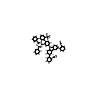 N#Cc1ccccc1-c1ccc2c(c1)c1cc(-c3ccccc3C#N)ccc1n2-c1ccc(-c2ccccc2C(F)(F)F)c(-c2nc(-c3ccccc3)nc(-c3ccccc3)n2)c1